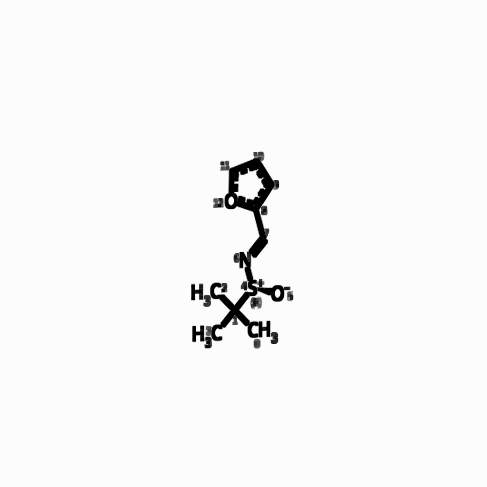 CC(C)(C)[S@+]([O-])N=Cc1ccco1